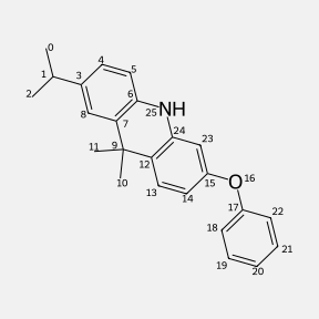 CC(C)c1ccc2c(c1)C(C)(C)c1ccc(Oc3ccccc3)cc1N2